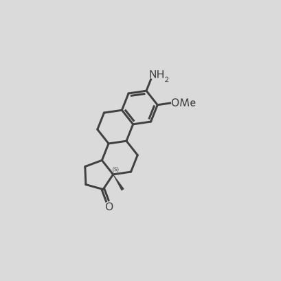 COc1cc2c(cc1N)CCC1C2CC[C@]2(C)C(=O)CCC12